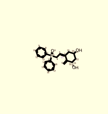 C=C1/C(=C\CP(=O)(c2ccccc2)c2ccccc2)CC(O)C[C@@H]1O